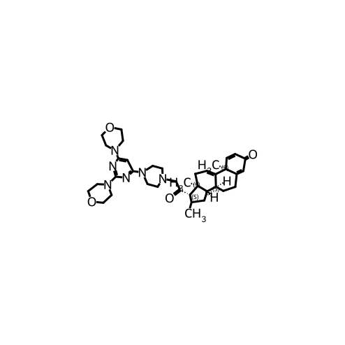 CC1C[C@H]2[C@@H]3CCC4=CC(=O)C=C[C@]4(C)C3=CC[C@]2(C)[C@H]1C(=O)CN1CCN(c2cc(N3CCOCC3)nc(N3CCOCC3)n2)CC1